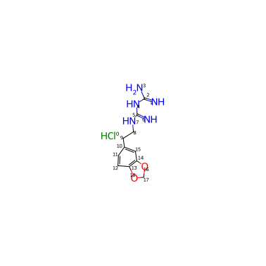 Cl.N=C(N)NC(=N)NCCc1ccc2c(c1)OCO2